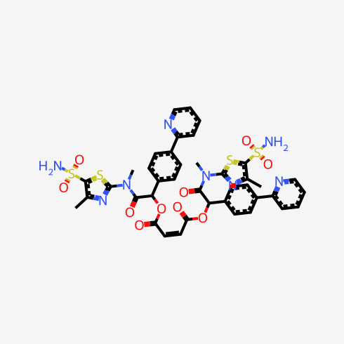 Cc1nc(N(C)C(=O)C(OC(=O)/C=C\C(=O)OC(C(=O)N(C)c2nc(C)c(S(N)(=O)=O)s2)c2ccc(-c3ccccn3)cc2)c2ccc(-c3ccccn3)cc2)sc1S(N)(=O)=O